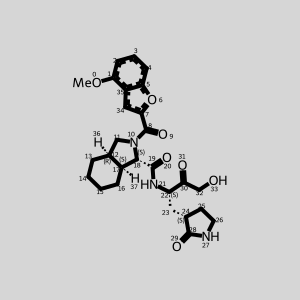 COc1cccc2oc(C(=O)N3C[C@@H]4CCCC[C@@H]4[C@H]3C(=O)N[C@@H](C[C@@H]3CCNC3=O)C(=O)CO)cc12